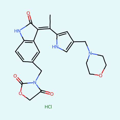 CC(=C1C(=O)Nc2ccc(CN3C(=O)COC3=O)cc21)c1cc(CN2CCOCC2)c[nH]1.Cl